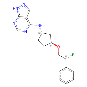 F[C@@H](CO[C@H]1CC[C@H](Nc2ncnc3[nH]ncc23)C1)c1ccccc1